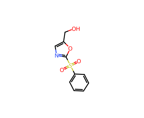 O=S(=O)(c1ccccc1)c1ncc(CO)o1